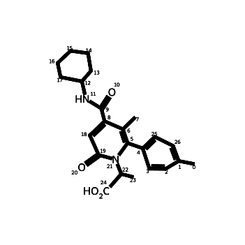 Cc1ccc(-c2c(C)c(C(=O)NC3CCCCC3)cc(=O)n2C(C)C(=O)O)cc1